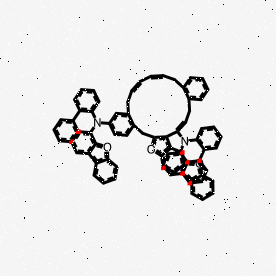 C1=CCCC(c2ccccc2N(/C2=C/Cc3ccccc3C/C=C\C=C/Cc3cc(N(c4ccccc4-c4ccccc4)c4cccc5c4oc4ccccc45)ccc3Cc3oc4ccccc4c32)c2cccc3c2oc2ccccc23)=C1